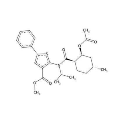 COC(=O)c1cc(-c2ccccc2)sc1N(C(=O)[C@@H]1CC[C@@H](C)C[C@@H]1OC(C)=O)C(C)C